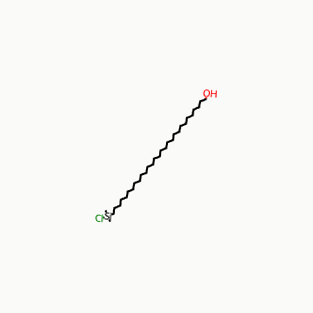 C[Si](C)(Cl)CCCCCCCCCCCCCCCCCCCCCCCCCCCCCO